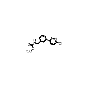 CC(C)(C)OC(=O)NCc1cccc(-c2ccc(Cl)nn2)c1